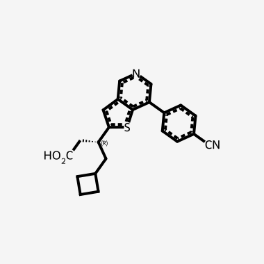 N#Cc1ccc(-c2cncc3cc([C@@H](CC(=O)O)CC4CCC4)sc23)cc1